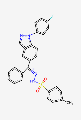 Cc1ccc(S(=O)(=O)N/N=C(\c2ccccc2)c2ccc3c(cnn3-c3ccc(F)cc3)c2)cc1